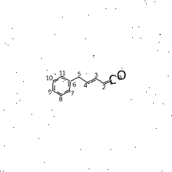 O=C=CC=CCc1ccccc1